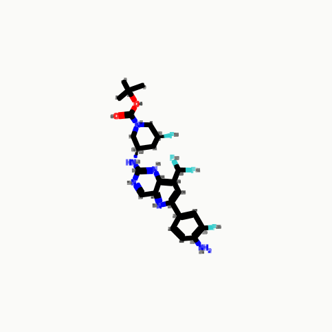 CC(C)(C)OC(=O)N1C[C@@H](F)C[C@H](Nc2ncc3nc(-c4ccc(N)c(F)c4)cc(C(F)F)c3n2)C1